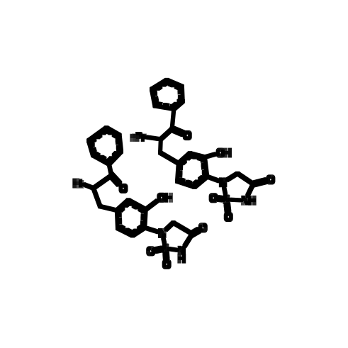 CCC(Cc1ccc(N2CC(=O)NS2(=O)=O)c(O)c1)C(=O)c1ccccc1.CCCC(Cc1ccc(N2CC(=O)NS2(=O)=O)c(O)c1)C(=O)c1ccccc1